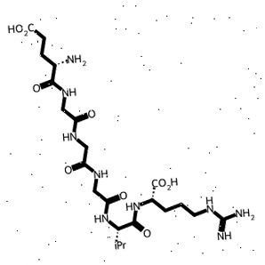 CC(C)[C@H](NC(=O)CNC(=O)CNC(=O)CNC(=O)[C@@H](N)CCC(=O)O)C(=O)N[C@@H](CCCNC(=N)N)C(=O)O